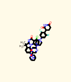 CC1(C)c2ccc(N3CC4CC(C3)N4Cc3cnc(N4CCN(c5cc(F)c(C6CCC(=O)NC6=O)c(F)c5)CC4)cn3)cc2-n2c1nc(=O)c1c(Cl)cccc12